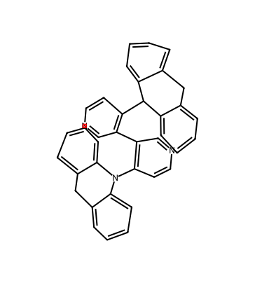 c1ccc2c(c1)Cc1ccccc1C2c1ccncc1-c1cnccc1N1c2ccccc2Cc2ccccc21